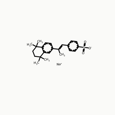 C/C(=C\c1ccc(S(=O)(=O)[O-])cc1)c1ccc2c(c1)C(C)(C)CCC2(C)C.[Na+]